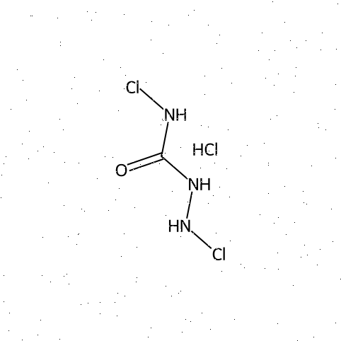 Cl.O=C(NCl)NNCl